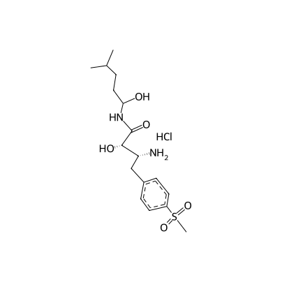 CC(C)CCC(O)NC(=O)[C@@H](O)[C@H](N)Cc1ccc(S(C)(=O)=O)cc1.Cl